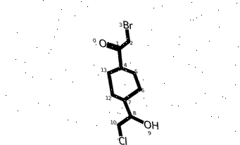 O=C(CBr)C1CCC(C(O)CCl)CC1